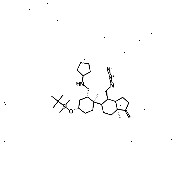 C=C1CCC2[C@H](CN=[N+]=[N-])C([C@@]3(C)CC[C@H](O[Si](C)(C)C(C)(C)C)C[C@@H]3CNC3CCCC3)CC[C@]12C